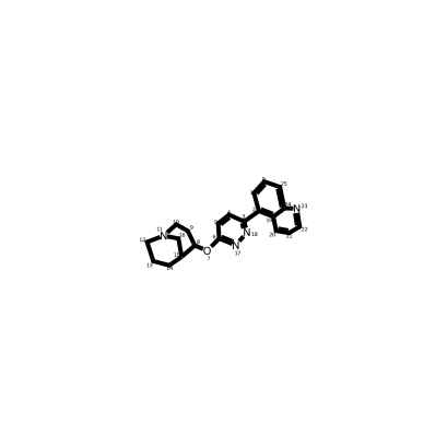 c1cc(-c2ccc(OC3CCN4CCCC3C4)nn2)c2cccnc2c1